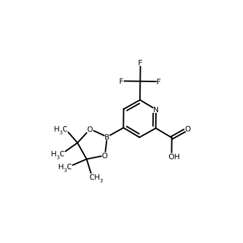 CC1(C)OB(c2cc(C(=O)O)nc(C(F)(F)F)c2)OC1(C)C